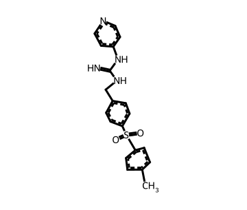 Cc1ccc(S(=O)(=O)c2ccc(CNC(=N)Nc3ccncc3)cc2)cc1